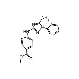 COC(=O)c1ccc(Nc2nc(N)n(-c3ccccn3)n2)cc1